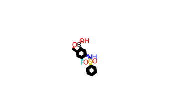 O=S(=O)(Nc1cc2c(cc1F)COB2O)c1ccccc1